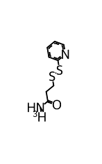 [3H]NC(=O)CCSSc1ccccn1